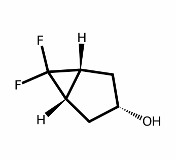 O[C@H]1C[C@@H]2[C@H](C1)C2(F)F